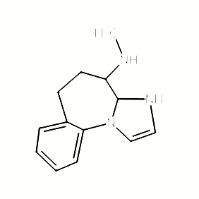 CNC1CCc2ccccc2N2C=CNC12